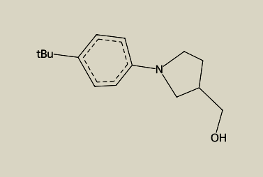 CC(C)(C)c1ccc(N2CCC(CO)C2)cc1